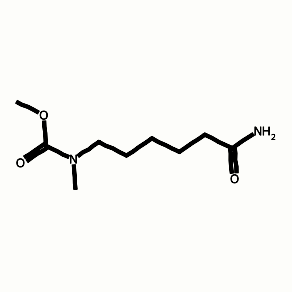 COC(=O)N(C)CCCCCC(N)=O